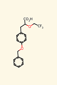 O=C(O)C(Cc1ccc(OCc2ccccc2)cc1)OCC(F)(F)F